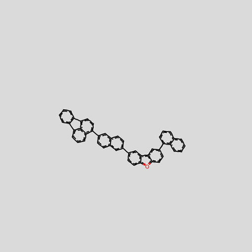 c1ccc2c(c1)-c1cccc3c(-c4ccc5cc(-c6ccc7oc8ccc(-c9cccc%10ccccc9%10)cc8c7c6)ccc5c4)ccc-2c13